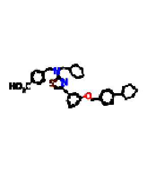 O=C(O)c1ccc(CN(CC2CCCCC2)c2nc(-c3cccc(OCc4ccc(C5CCCCC5)cc4)c3)cs2)cc1